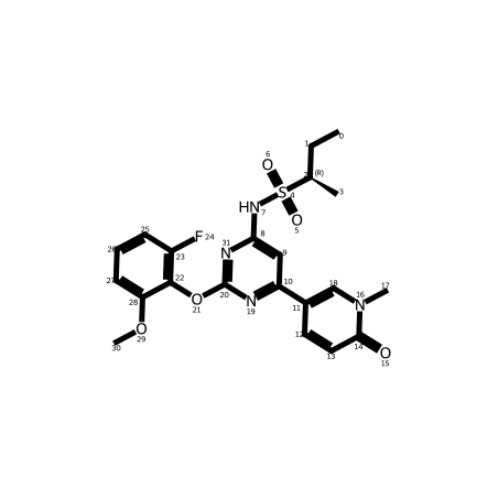 CC[C@@H](C)S(=O)(=O)Nc1cc(-c2ccc(=O)n(C)c2)nc(Oc2c(F)cccc2OC)n1